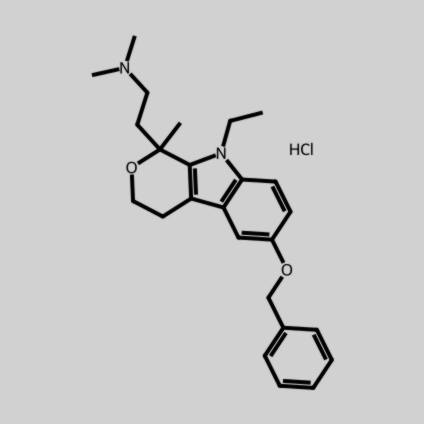 CCn1c2c(c3cc(OCc4ccccc4)ccc31)CCOC2(C)CCN(C)C.Cl